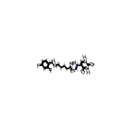 CC/C=C(\N=N/C(C)CCCCNCc1ccc(F)cc1F)c1c[nH]c(=O)[nH]c1=O